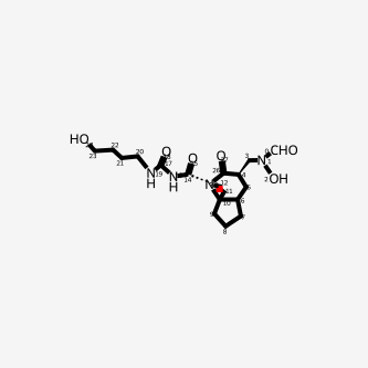 O=CN(O)C[C@H]1CC2CCCC23CC[C@@H](C(=O)NC(=O)NCCCCO)N3C1=O